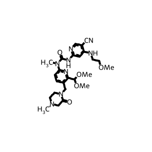 COCCNc1cc(NC(=O)N(C)c2ccc(CN3CCN(C)CC3=O)c(C(OC)OC)n2)ncc1C#N